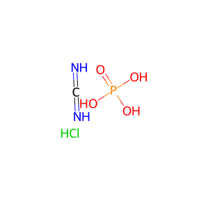 Cl.N=C=N.O=P(O)(O)O